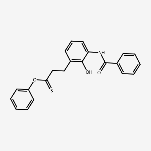 O=C(Nc1cccc(CCC(=S)Oc2ccccc2)c1O)c1ccccc1